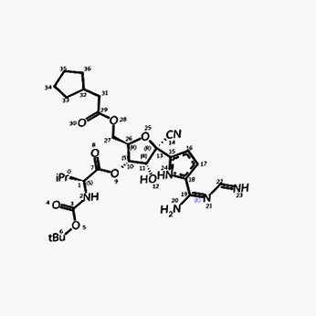 CC(C)[C@H](NC(=O)OC(C)(C)C)C(=O)O[C@H]1[C@@H](O)[C@](C#N)(c2ccc(/C(N)=N\C=N)[nH]2)O[C@@H]1COC(=O)CC1CCCC1